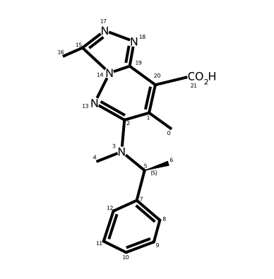 Cc1c(N(C)[C@@H](C)c2ccccc2)nn2c(C)nnc2c1C(=O)O